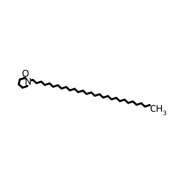 CCCCCCCCCCCCCCCCCCCCCCCCCCCCCCN1CCCCC1=O